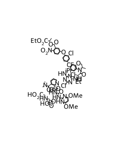 CC1COc2ccccc2N1C(=O)C(Cl)Cl.CCNc1nc(Cl)nc(NC(C)C)n1.CCOC(=O)C(C)OC(=O)c1cc(Oc2ccc(C(F)(F)F)cc2Cl)ccc1[N+](=O)[O-].COc1cc(OC)nc(NC(=O)NS(=O)(=O)c2ncccc2C(=O)N(C)C)n1.O=C(O)CNCP(=O)(O)O